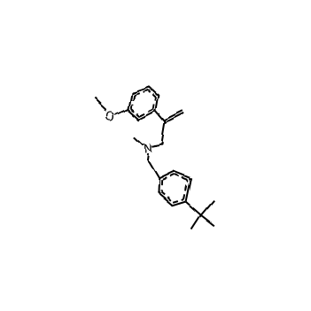 C=C(CN(C)Cc1ccc(C(C)(C)C)cc1)c1cccc(OC)c1